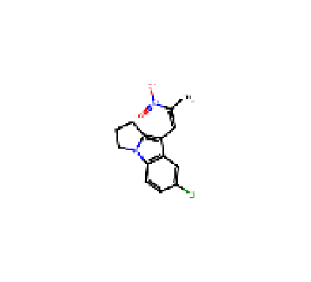 CC(=Cc1c2n(c3ccc(Cl)cc13)CCC2)[N+](=O)[O-]